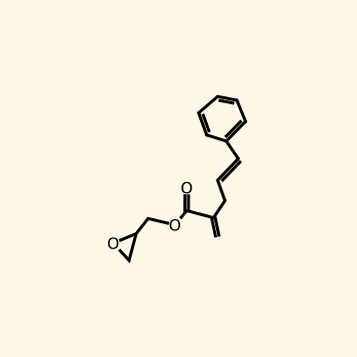 C=C(CC=Cc1ccccc1)C(=O)OCC1CO1